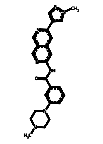 CN1CCN(c2cccc(C(=O)Nc3cc4cc(-c5cnn(C)c5)ncc4cn3)c2)CC1